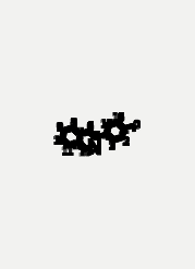 [CH2]c1ccc(-c2cc3ccccc3cn2)cc1